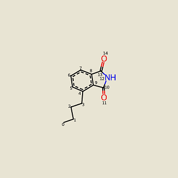 CCCCc1cccc2c1C(=O)NC2=O